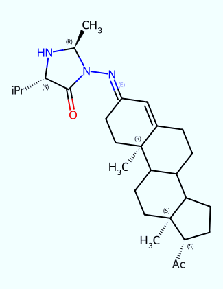 CC(=O)[C@H]1CCC2C3CCC4=C/C(=N/N5C(=O)[C@H](C(C)C)N[C@H]5C)CC[C@]4(C)C3CC[C@@]21C